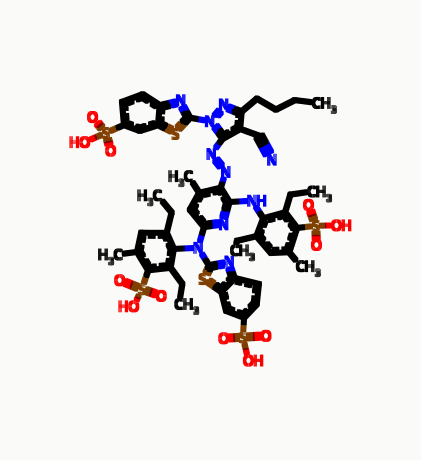 CCCCc1nn(-c2nc3ccc(S(=O)(=O)O)cc3s2)c(N=Nc2c(C)cc(N(c3nc4ccc(S(=O)(=O)O)cc4s3)c3c(CC)cc(C)c(S(=O)(=O)O)c3CC)nc2Nc2c(CC)cc(C)c(S(=O)(=O)O)c2CC)c1C#N